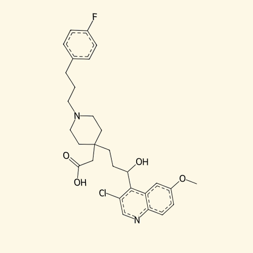 COc1ccc2ncc(Cl)c(C(O)CCC3(CC(=O)O)CCN(CCCc4ccc(F)cc4)CC3)c2c1